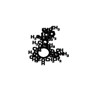 CC[C@H]1OC(=O)[C@H](C)[C@@H](O[C@H]2C[C@@](C)(OC)[C@@](O)(CN(C)CCN(C)C(C)(C)c3ccccc3OC)[C@H](C)O2)[C@H](C)[C@@H](O[C@@H]2O[C@H](C)C[C@H](N)[C@H]2O)[C@@](C)(OC)C[C@@H](C)[C@H](O)[C@H](C)[C@H]2NC(=O)O[C@@]21C